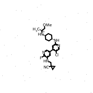 COC[C@H](C)N[C@H]1CC[C@H](Nc2cc(-c3cnc(F)c(NCC4(C#N)CC4)c3)c(Cl)cn2)CC1